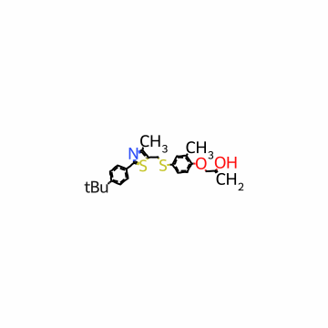 C=C(O)COc1ccc(SCc2sc(-c3ccc(C(C)(C)C)cc3)nc2C)cc1C